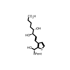 CCCCC[C@@H](O)c1sccc1/C=C/[C@@H](O)[C@@H](O)CCCC(=O)O